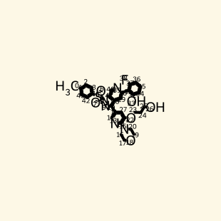 Cc1ccc(S(=O)(=O)n2nc(-c3cnc(N4CCOCC4)c(OCCCO)c3)c3cc(-c4c(O)cccc4F)ncc32)cc1